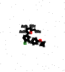 CC(=O)OC[C@H]1O[C@@H](c2ccc(Cl)c(Cc3ccc(OC4CCC4)cc3)c2)[C@H](OC(C)=O)[C@@H](OC(C)=O)[C@@H]1OC(C)=O